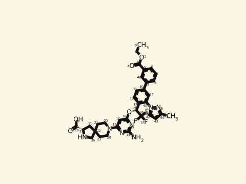 CCOC(=O)c1cccc(-c2ccc([C@@H](Oc3cc(N4CCC5(CC4)CN[C@H](C(=O)O)C5)nc(N)n3)C(F)(F)F)c(-n3ccc(C)n3)c2)c1